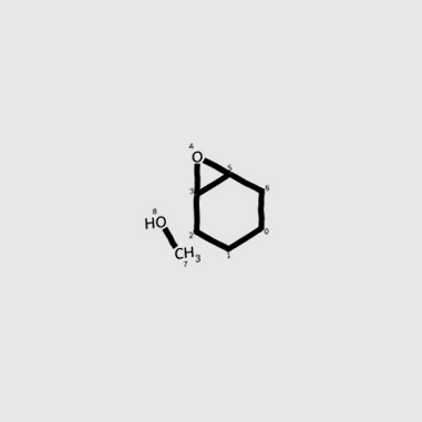 C1CCC2OC2C1.CO